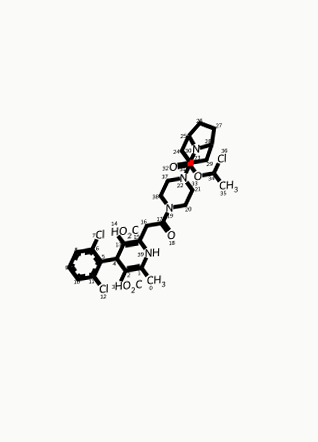 CC1=C(C(=O)O)C(c2c(Cl)cccc2Cl)C(C(=O)O)=C(CC(=O)N2CCN(C3CC4CCC(C3)N4C(=O)OC(C)Cl)CC2)N1